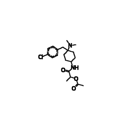 CC(=O)OC(C)C(=O)NC1CCC(Cc2ccc(Cl)cc2)(N(C)C)CC1